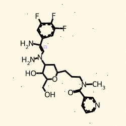 CN(CCCC1CC(N(N)/C=C(\N)c2cc(F)c(F)c(F)c2)C(O)C(CO)O1)C(=O)c1cccnc1